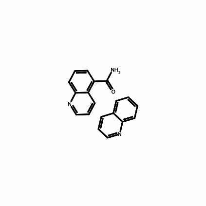 NC(=O)c1cccc2ncccc12.c1ccc2ncccc2c1